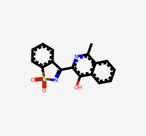 Cc1nc(C2=NS(=O)(=O)c3ccccc32)c(O)c2ccccc12